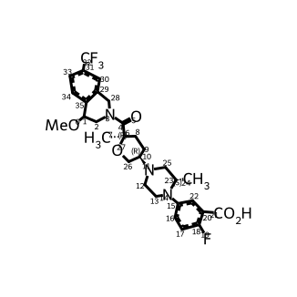 COC1CN(C(=O)[C@@]2(C)CC[C@@H](N3CCN(c4ccc(F)c(C(=O)O)c4)[C@@H](C)C3)CO2)Cc2cc(C(F)(F)F)ccc21